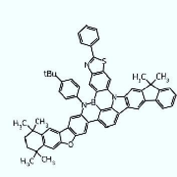 CC(C)(C)c1ccc(N2B3c4cc5nc(-c6ccccc6)sc5cc4-n4c5cc6c(cc5c5ccc(c3c54)-c3cc4oc5cc7c(cc5c4cc32)C(C)(C)CCC7(C)C)-c2ccccc2C6(C)C)cc1